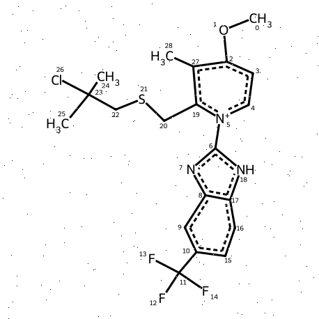 COc1cc[n+](-c2nc3cc(C(F)(F)F)ccc3[nH]2)c(CSCC(C)(C)Cl)c1C